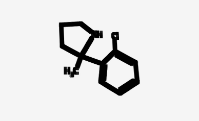 CC1(c2ccccc2Cl)CCCN1